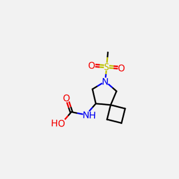 CS(=O)(=O)N1CC(NC(=O)O)C2(CCC2)C1